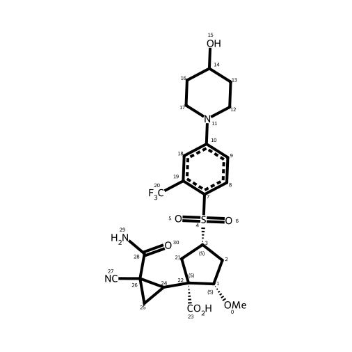 CO[C@H]1C[C@@H](S(=O)(=O)c2ccc(N3CCC(O)CC3)cc2C(F)(F)F)C[C@]1(C(=O)O)C1CC1(C#N)C(N)=O